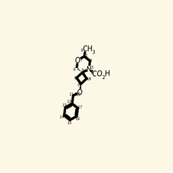 CC1CN(C(=O)O)[C@]2(CO1)C[C@H](OCc1ccccc1)C2